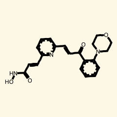 O=C(/C=C/c1cccc(/C=C/C(=O)c2ccccc2N2CCOCC2)n1)NO